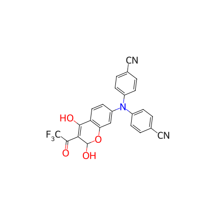 N#Cc1ccc(N(c2ccc(C#N)cc2)c2ccc3c(c2)OC(O)C(C(=O)C(F)(F)F)=C3O)cc1